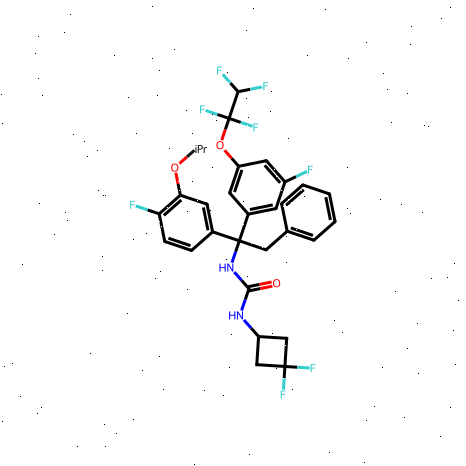 CC(C)Oc1cc(C(Cc2ccccc2)(NC(=O)NC2CC(F)(F)C2)c2cc(F)cc(OC(F)(F)C(F)F)c2)ccc1F